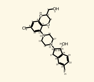 OCC1COc2c(cc(Cl)cc2N2CCN([C@@H]3Cc4cc(F)ccc4[C@H]3O)CC2)O1